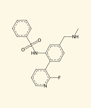 CNCc1ccc(-c2cccnc2F)c(NS(=O)(=O)c2ccccc2)c1